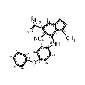 Cc1[c]cn2nc(C(N)=O)c(C#N)c(Nc3ccc(Oc4ccccc4)cc3)c12